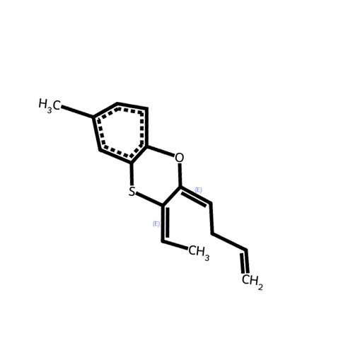 C=CC/C=C1/Oc2ccc(C)cc2S/C1=C/C